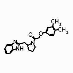 Cc1ccc(OCC(=O)N2CCCC2Cc2nc3ccccc3[nH]2)cc1C